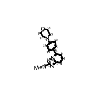 CNc1nc2cccc(-c3ccc(N4CCOCC4)cc3)n2n1